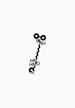 O=C(NCCCCCCCCN[S+]([O-])c1ccccc1-c1ccccc1)NCc1cccnc1